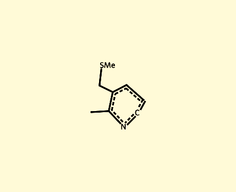 CSCc1cccnc1C